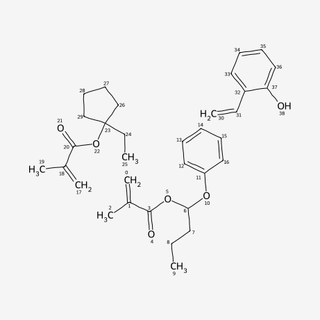 C=C(C)C(=O)OC(CCC)Oc1ccccc1.C=C(C)C(=O)OC1(CC)CCCC1.C=Cc1ccccc1O